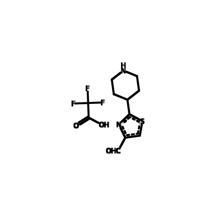 O=C(O)C(F)(F)F.O=Cc1csc(C2CCNCC2)n1